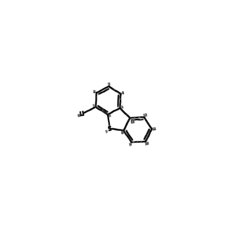 [Li][c]1cccc2c1sc1ccccc12